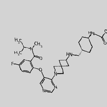 CC(C)N(C)C(=O)c1cc(F)ccc1Oc1cncnc1N1CC2(CC(NC[C@H]3CC[C@H](NC(=O)O)CC3)C2)C1